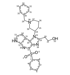 O=S(=O)(c1ccccc1)c1nc2[nH]ccc2c2c1nc(CCO)n2C1CCCN(Cc2ccccc2)C1